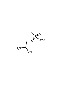 CC(N)O.COS(C)(=O)=O